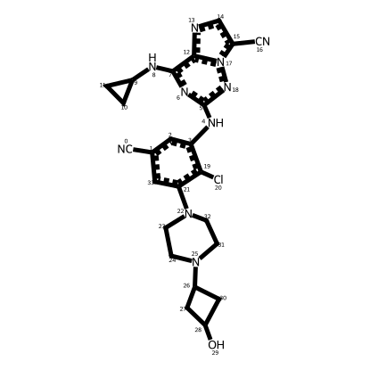 N#Cc1cc(Nc2nc(NC3CC3)c3ncc(C#N)n3n2)c(Cl)c(N2CCN(C3CC(O)C3)CC2)c1